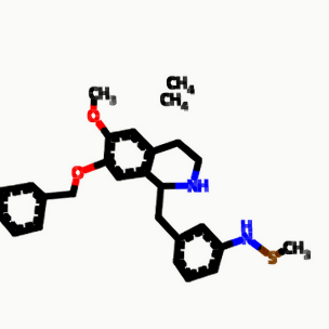 C.C.COc1cc2c(cc1OCc1ccccc1)C(Cc1cccc(NSC)c1)NCC2